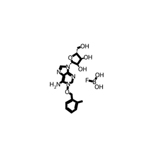 Cc1ccccc1CON1CN=c2c(ncn2[C@@H]2O[C@H](CO)[C@@H](O)[C@H]2O)=C1N.OB(O)F